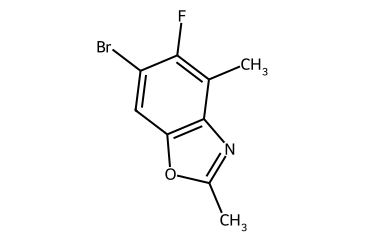 Cc1nc2c(C)c(F)c(Br)cc2o1